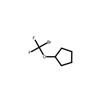 FC(F)(Br)OC1C[CH]CC1